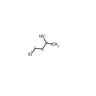 CC[CH]CC(C)S